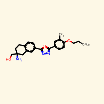 COCCOc1ccc(-c2nnc(-c3ccc4c(c3)CC(N)(CO)CC4)o2)cc1C(F)(F)F